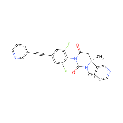 CN1C(=O)N(c2c(F)cc(C#Cc3cccnc3)cc2F)C(=O)C[C@@]1(C)c1cccnc1